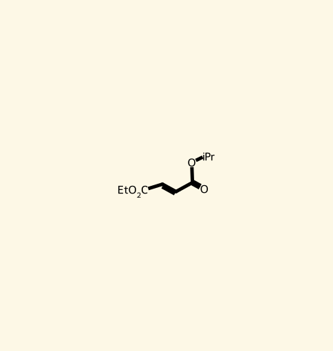 CCOC(=O)C=CC(=O)OC(C)C